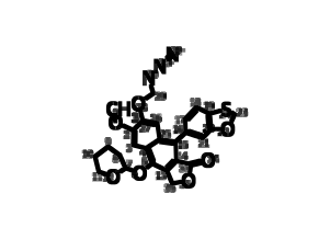 COc1cc2c(OC3CCCCO3)c3c(c(-c4ccc5c(c4)OCS5)c2cc1OCN=[N+]=[N-])C(=O)OC3